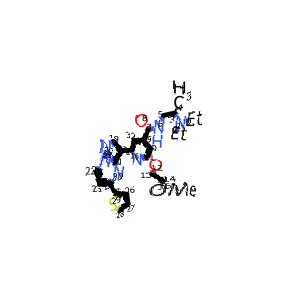 CCN(CC)[C@@H](C)CNC(=O)c1cc(OCCOC)nc(-c2cnn3ccc(-c4cccs4)nc23)c1